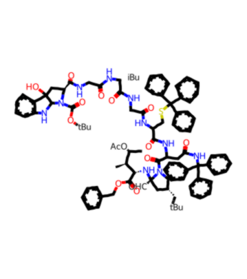 CC[C@H](C)C(NC(=O)CNC(=O)[C@@H]1CC2(O)c3ccccc3NC2N1C(=O)OC(C)(C)C)C(=O)NCC(=O)NC(CSC(c1ccccc1)(c1ccccc1)c1ccccc1)C(=O)NC(CC(=O)NC(c1ccccc1)(c1ccccc1)c1ccccc1)C(=O)N1C[C@H](CC(C)(C)C)C[C@]1(C=O)N[C@H](C(=O)OCc1ccccc1)[C@@H](C)[C@H](C)OC(C)=O